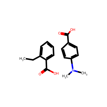 CCc1ccccc1C(=O)O.CN(C)c1ccc(C(=O)O)cc1